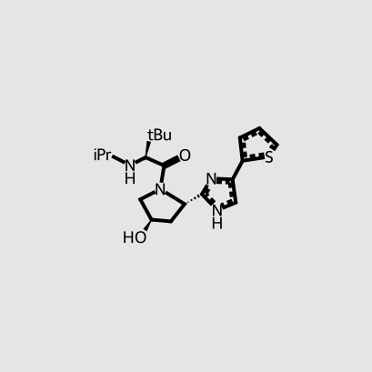 CC(C)N[C@H](C(=O)N1C[C@H](O)C[C@H]1c1nc(-c2cccs2)c[nH]1)C(C)(C)C